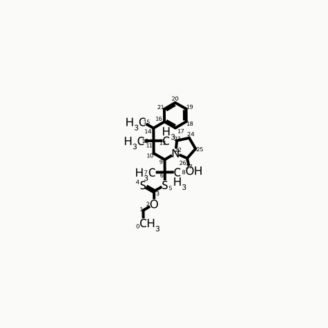 CCOC(=S)SC(C)(C)C(CC(C)(C)C(C)c1ccccc1)N1CCCC1O